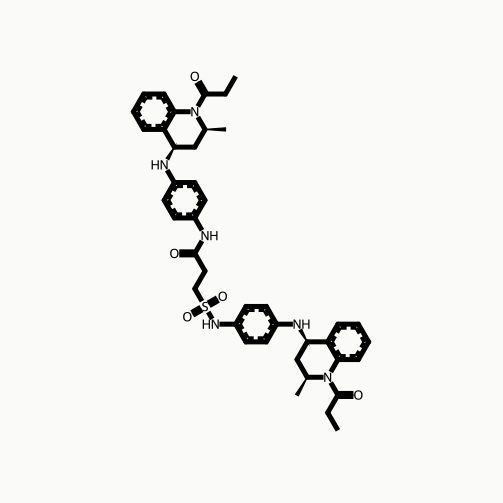 CCC(=O)N1c2ccccc2[C@H](Nc2ccc(NC(=O)CCS(=O)(=O)Nc3ccc(N[C@@H]4C[C@H](C)N(C(=O)CC)c5ccccc54)cc3)cc2)C[C@@H]1C